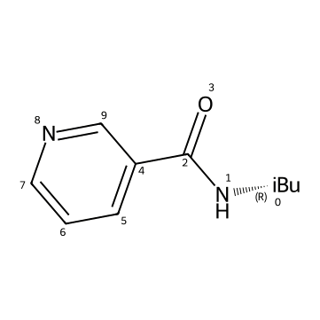 CC[C@@H](C)NC(=O)c1cccnc1